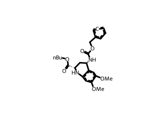 CCCCOC(=O)[C@@H]1C[C@H](NC(=O)OCc2ccccc2)c2cc(OC)c(OC)cc2N1